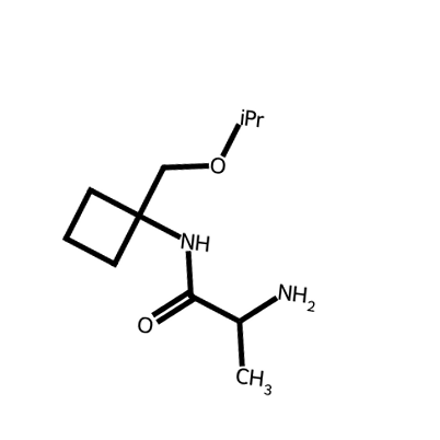 CC(C)OCC1(NC(=O)C(C)N)CCC1